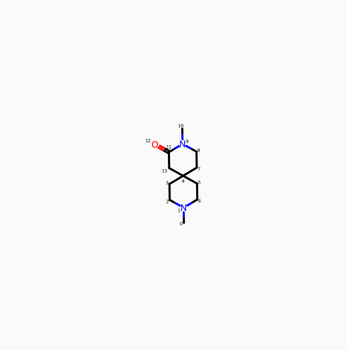 CN1CCC2(CC1)CCN(C)C(=O)C2